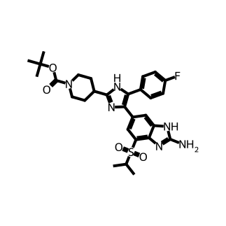 CC(C)S(=O)(=O)c1cc(-c2nc(C3CCN(C(=O)OC(C)(C)C)CC3)[nH]c2-c2ccc(F)cc2)cc2[nH]c(N)nc12